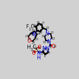 CS(=O)(=O)Nc1ccn(C(=O)N2CCN(Cc3ccc(C(F)(F)F)c(N4C5CCC4COC5)c3)CC2)n1